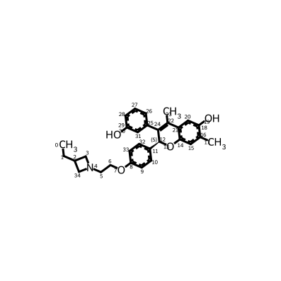 CCC1CN(CCOc2ccc([C@@H]3Oc4cc(C)c(O)cc4C(C)=C3c3cccc(O)c3)cc2)C1